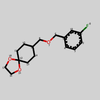 Fc1cccc(COCC2CCC3(CC2)OCCO3)c1